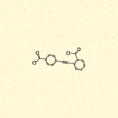 O=C(Cl)c1ccc(C#Cc2ccccc2C(=O)Cl)cc1